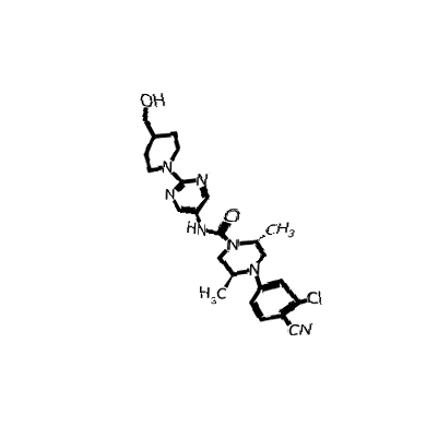 C[C@@H]1CN(c2ccc(C#N)c(Cl)c2)[C@@H](C)CN1C(=O)Nc1cnc(N2CCC(CO)CC2)nc1